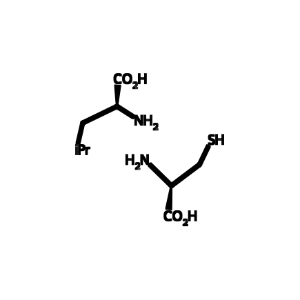 CC(C)C[C@H](N)C(=O)O.N[C@@H](CS)C(=O)O